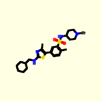 Cc1ccc(-c2sc(NCC3CCCCC3)nc2C)cc1S(=O)(=O)NC1CCN(C(C)C)CC1